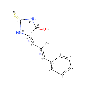 CC(=C\c1ccccc1)/C=C1/NC(=S)NC1=O